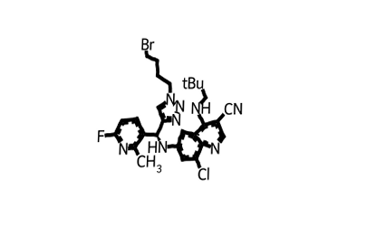 Cc1nc(F)ccc1[C@H](Nc1cc(Cl)c2ncc(C#N)c(NCC(C)(C)C)c2c1)c1cn(CCCCBr)nn1